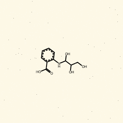 O=C(O)c1ccccc1NC(O)C(O)CO